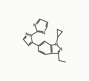 CCc1nn(C2CC2)c2cc(-c3ccnn3-c3ncccn3)ccc12